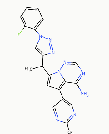 CC(c1cn(-c2ccccc2F)nn1)c1cc(-c2cnc(C(F)(F)F)nc2)c2c(N)ncnn12